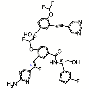 Nc1ncc(/C(F)=C/c2cc(C(=O)N[C@H](CO)c3cccc(F)c3)ccc2OC(F)F)cn1.O=C(O)c1ccc(OC(F)F)c(C#Cc2cncnc2)c1